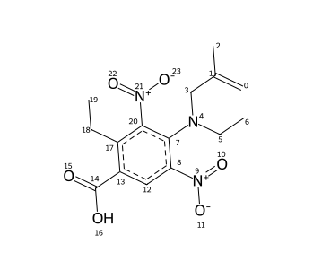 C=C(C)CN(CC)c1c([N+](=O)[O-])cc(C(=O)O)c(CC)c1[N+](=O)[O-]